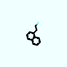 FC[CH]c1cccc2ccccc12